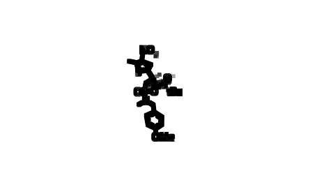 COc1ccc(CN(C)S(=O)(=O)C[C@](C)(N[S@+]([O-])C(C)(C)C)c2cc([N+](=O)[O-])c(C)s2)cc1